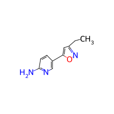 CCc1cc(-c2ccc(N)nc2)on1